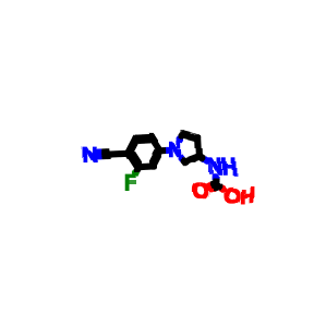 N#Cc1ccc(N2CCC(NC(=O)O)C2)cc1F